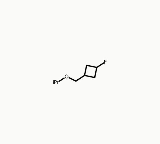 CC(C)OCC1CC(F)C1